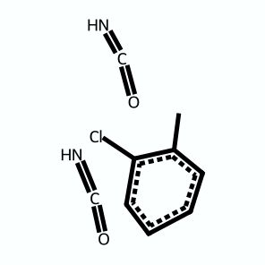 Cc1ccccc1Cl.N=C=O.N=C=O